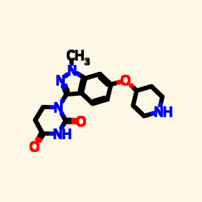 Cn1nc(N2CCC(=O)NC2=O)c2ccc(OC3CCNCC3)cc21